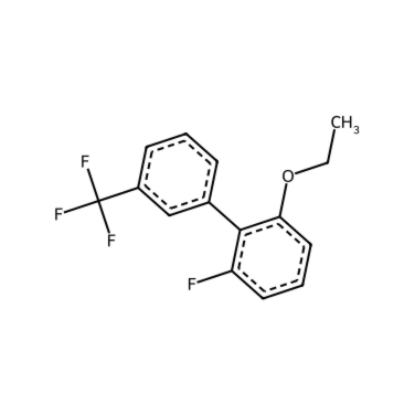 CCOc1cccc(F)c1-c1cccc(C(F)(F)F)c1